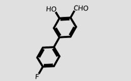 O=Cc1ccc(-c2ccc(F)cc2)cc1O